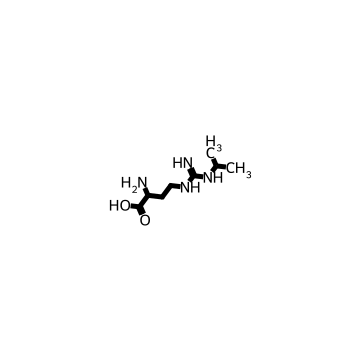 CC(C)NC(=N)NCCC(N)C(=O)O